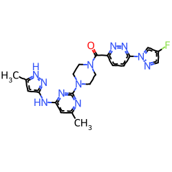 Cc1cc(Nc2cc(C)[nH]n2)nc(N2CCN(C(=O)c3ccc(-n4cc(F)cn4)nn3)CC2)n1